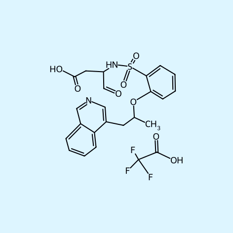 CC(Cc1cncc2ccccc12)Oc1ccccc1S(=O)(=O)NC(C=O)CC(=O)O.O=C(O)C(F)(F)F